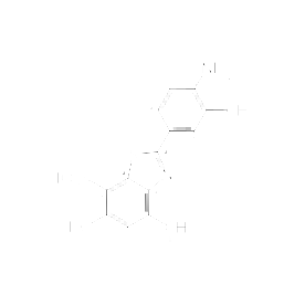 Cc1cc(-c2nc3c(C)cc(C)c(S(=O)(=O)O)c3s2)ccc1N